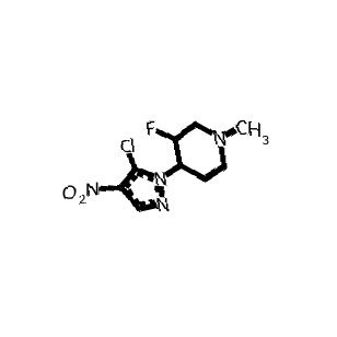 CN1CCC(n2ncc([N+](=O)[O-])c2Cl)C(F)C1